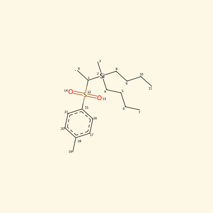 [CH2]C([Si](C)(CCCC)CCCC)S(=O)(=O)c1ccc(C)cc1